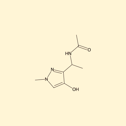 CC(=O)NC(C)c1nn(C)cc1O